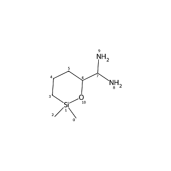 C[Si]1(C)CCCC(C(N)N)O1